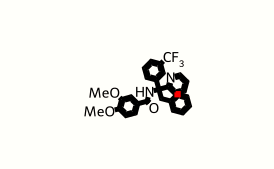 COc1ccc(C(=O)NC(Cc2ccccc2)(c2cccc(C(F)(F)F)c2)c2ccccn2)cc1OC